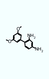 COc1cc(OC)cc(-c2ccc(N)cc2N)c1